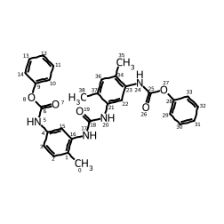 Cc1ccc(NC(=O)Oc2ccccc2)cc1NC(=O)Nc1cc(NC(=O)Oc2ccccc2)c(C)cc1C